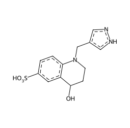 O=S(=O)(O)c1ccc2c(c1)C(O)CCN2Cc1cn[nH]c1